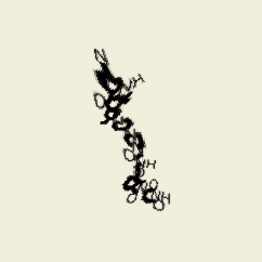 CCc1cc2c(cc1N1CCC(N3CCN(CC(=O)NCOc4cccc5c4CN(C4CCC(=O)NC4=O)C5=O)CC3)CC1)C(C)(C)c1[nH]c3cc(C#N)ccc3c1C2=O